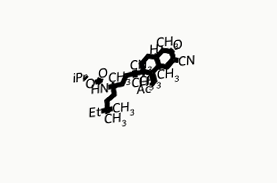 CCC(C)(C)CC[C@@](C)(CCC(C)(C)[C@]1(C)CC[C@H]2[C@H](C)C(=O)C(C#N)=C[C@]2(C)/C1=C/C(C)=O)NC(=O)OC(C)C